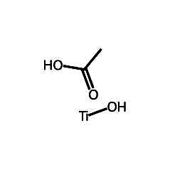 CC(=O)O.[OH][Ti]